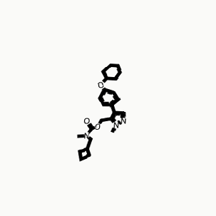 CN(CC1CCC1)C(=O)OCc1c(-c2ccc(OC3CCCCC3)cc2)cnn1C